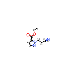 CCOC(=O)c1ccnn1CCC#N